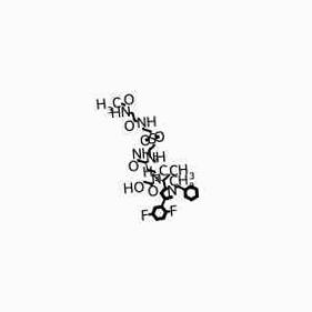 CC(=O)NCC(=O)NCCS(=O)(=O)CCN[C@@H](CCN(C(=O)CO)[C@@H](c1cc(-c2cc(F)ccc2F)cn1Cc1ccccc1)C(C)(C)C)C(N)=O